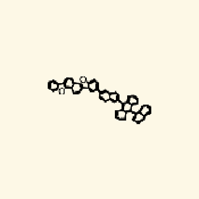 c1ccc2c(-c3c4ccccc4c(-c4ccc5cc(-c6ccc7oc8c(ccc9c8ccc8c%10ccccc%10oc89)c7c6)ccc5c4)c4ccccc34)cccc2c1